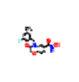 O=C(NO)c1ccc2c(c1)N(Cc1cc(F)cc(C(F)(F)F)c1)C(=O)CO2